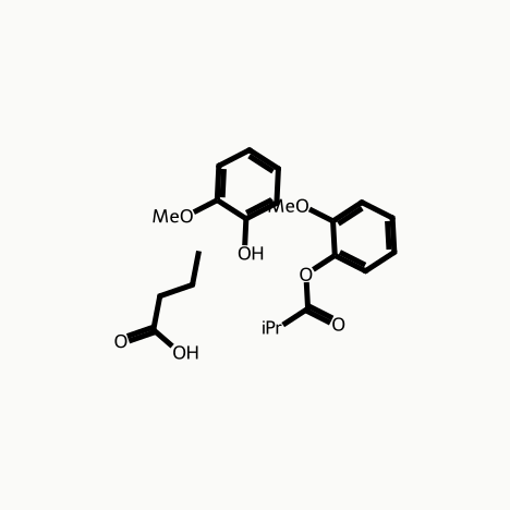 CCCC(=O)O.COc1ccccc1O.COc1ccccc1OC(=O)C(C)C